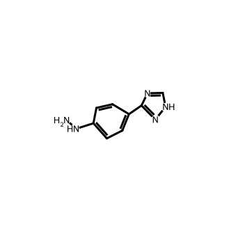 NNc1ccc(-c2nc[nH]n2)cc1